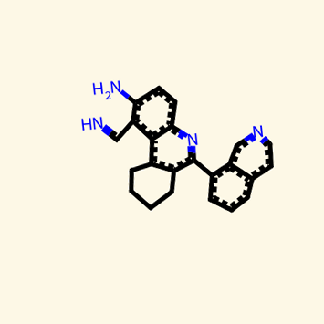 N=Cc1c(N)ccc2nc(-c3cccc4ccncc34)c3c(c12)CCCC3